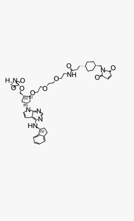 NS(=O)(=O)OC[C@@H]1C[C@@H](n2ccc3c(N[C@H]4CCc5ccccc54)ncnc32)C[C@@H]1OCCOCCOCCNC(=O)CC[C@H]1CC[C@H](CN2C(=O)C=CC2=O)CC1